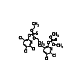 CCOP(=S)(OCC)Oc1nc(Cl)c(Cl)cc1Cl.COP(=S)(OC)Oc1nc(Cl)c(Cl)cc1Cl